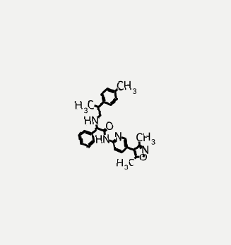 Cc1ccc(C(C)CNC(C(=O)Nc2ccc(-c3c(C)noc3C)cn2)c2ccccc2)cc1